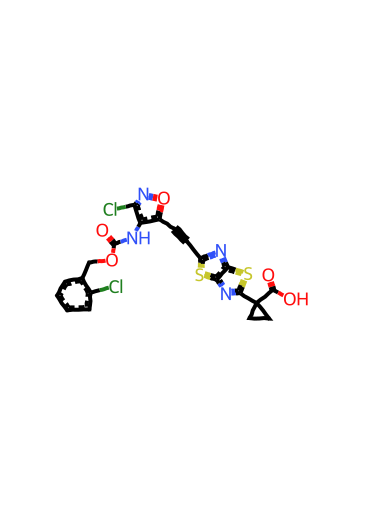 O=C(Nc1c(Cl)noc1C#Cc1nc2sc(C3(C(=O)O)CC3)nc2s1)OCc1ccccc1Cl